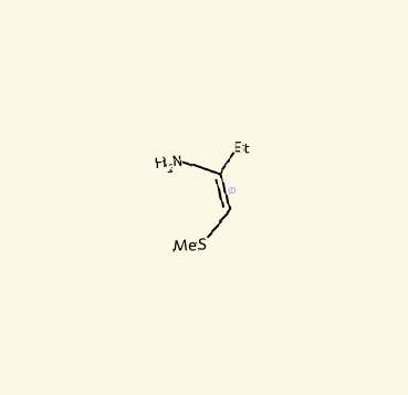 CC/C(N)=C/SC